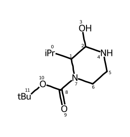 CC(C)C1C(O)NCCN1C(=O)OC(C)(C)C